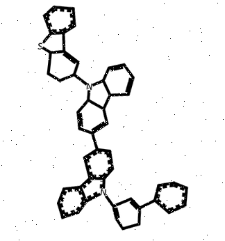 C1=CC2C3C=C(c4ccc5c(c4)c4ccccc4n5C4=CCCC(c5ccccc5)=C4)C=CC3N(C3C=C4c5ccccc5SC4CC3)C2C=C1